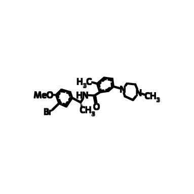 COc1ccc([C@@H](C)NC(=O)c2cc(N3CCN(C)CC3)ccc2C)cc1Br